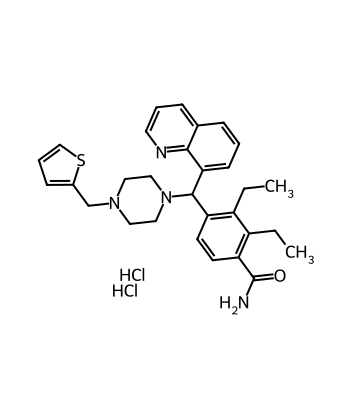 CCc1c(C(N)=O)ccc(C(c2cccc3cccnc23)N2CCN(Cc3cccs3)CC2)c1CC.Cl.Cl